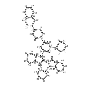 c1ccc(-c2nc(-c3ccc(-c4ccc5ccccc5c4)cc3)nc(-n3c4ccccc4c4c5ccccc5c5c6ccccc6sc5c43)n2)cc1